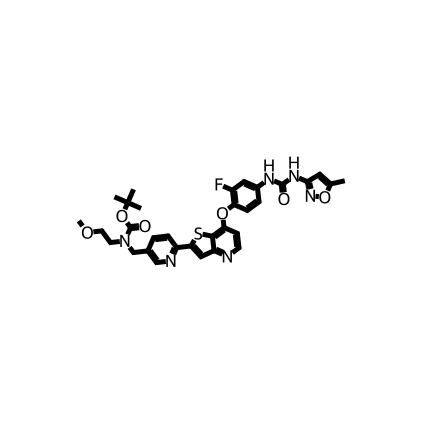 COCCN(Cc1ccc(-c2cc3nccc(Oc4ccc(NC(=O)Nc5cc(C)on5)cc4F)c3s2)nc1)C(=O)OC(C)(C)C